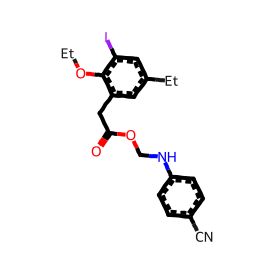 [CH2]COc1c(I)cc(CC)cc1CC(=O)OCNc1ccc(C#N)cc1